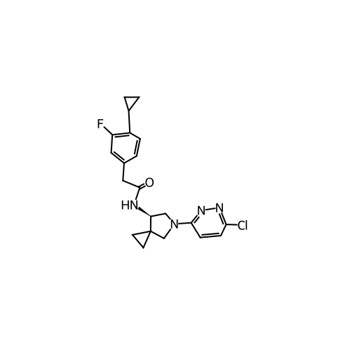 O=C(Cc1ccc(C2CC2)c(F)c1)N[C@H]1CN(c2ccc(Cl)nn2)CC12CC2